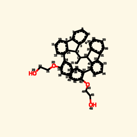 CC(C1c2ccccc2-c2cccc(-c3ccccc3OCCO)c21)C1c2ccccc2-c2cccc(-c3ccccc3OCCO)c21